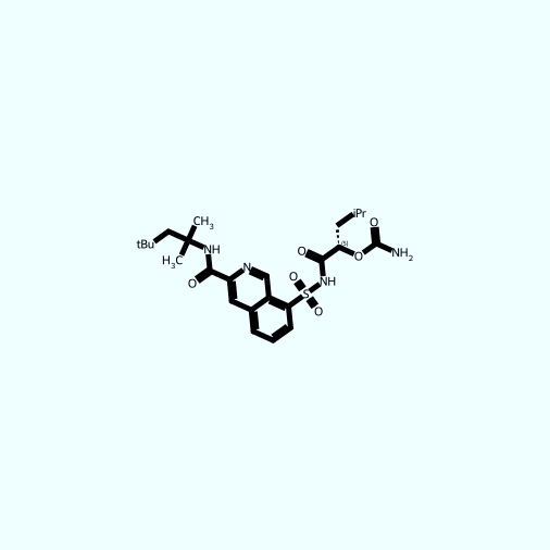 CC(C)C[C@H](OC(N)=O)C(=O)NS(=O)(=O)c1cccc2cc(C(=O)NC(C)(C)CC(C)(C)C)ncc12